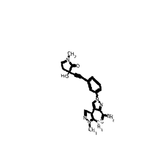 Cc1c(-c2cn(-c3cccc(C#C[C@]4(O)CCN(C)C4=O)c3)nc2C(N)=O)cnn1C